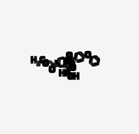 COCC(=O)N1CCN(S(=O)(=O)c2ccc(Oc3ccccc3)cc2)[C@@H](C(=O)NO)C1